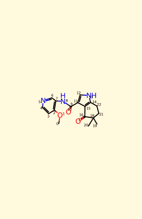 COc1ccncc1NC(=O)c1c[nH]c2c1C(=O)C(C)(C)CC2